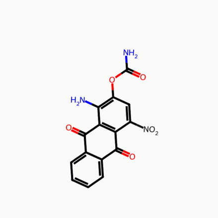 NC(=O)Oc1cc([N+](=O)[O-])c2c(c1N)C(=O)c1ccccc1C2=O